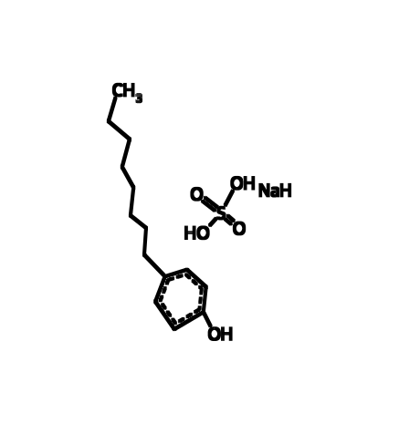 CCCCCCCCc1ccc(O)cc1.O=S(=O)(O)O.[NaH]